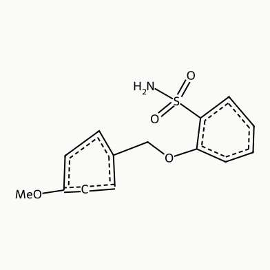 COc1ccc(COc2ccccc2S(N)(=O)=O)cc1